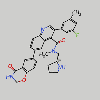 Cc1cc(F)cc(-c2cnc3ccc(-c4ccc5c(c4)C(=O)NCO5)cc3c2C(=O)N(C)C[C@@H]2CCCN2)c1